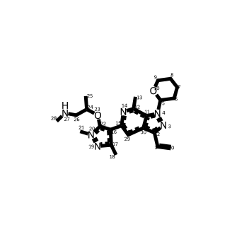 C=Cc1nn(C2CCCCO2)c2c(C)nc(-c3c(C)nn(C)c3OC(C)CNC)cc12